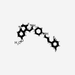 COc1ccc2ncc(F)c(CC(N)[C@H]3CC[C@H](NCC=Cc4cc(F)ccc4F)CC3)c2c1